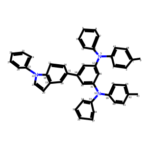 Cc1ccc(N(c2ccccc2)c2cc(-c3ccc4c(ccn4-c4ccccc4)c3)cc(N(c3ccccc3)c3ccc(C)cc3)c2)cc1